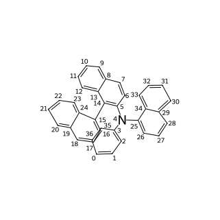 c1ccc(N(c2ccc3ccccc3c2-c2cccc3ccccc23)c2cccc3ccccc23)cc1